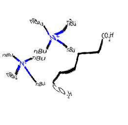 CCCC[N+](CCCC)(CCCC)CCCC.CCCC[N+](CCCC)(CCCC)CCCC.O=C(O)CCCCC(=O)O